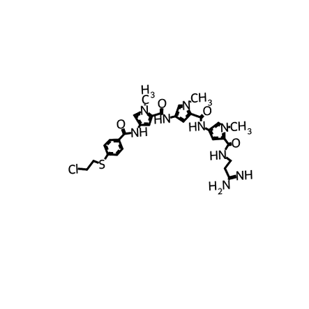 Cn1cc(NC(=O)c2cc(NC(=O)c3cc(NC(=O)c4ccc(SCCCl)cc4)cn3C)cn2C)cc1C(=O)NCCC(=N)N